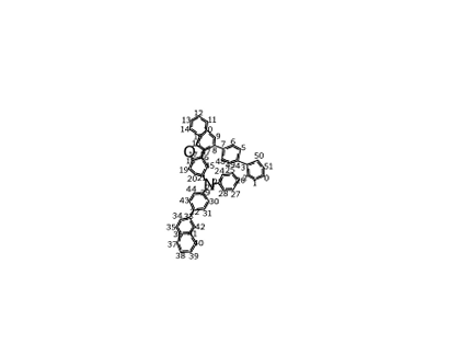 c1ccc(-c2ccc(-c3cc4ccccc4c4oc5ccc(N(c6ccccc6)c6ccc(-c7ccc8ccccc8c7)cc6)cc5c34)cc2)cc1